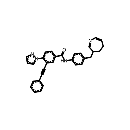 O=C(Nc1ccc(CC2C=NC=CCC2)cc1)c1ccc(-n2cccn2)c(C#Cc2ccccc2)c1